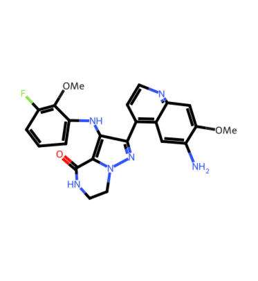 COc1cc2nccc(-c3nn4c(c3Nc3cccc(F)c3OC)C(=O)NCC4)c2cc1N